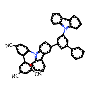 N#Cc1cc(C#N)cc(-c2cc(C#N)ccc2-n2c3ccccc3c3cc(-c4cc(-c5ccccc5)cc(-n5c6ccccc6c6ccccc65)c4)ccc32)c1